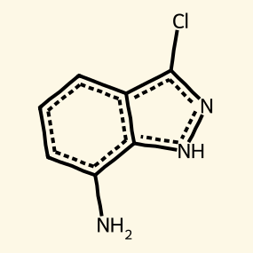 Nc1cccc2c(Cl)n[nH]c12